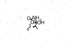 C=C(C)C(=O)O.CCCCOC(N)=O